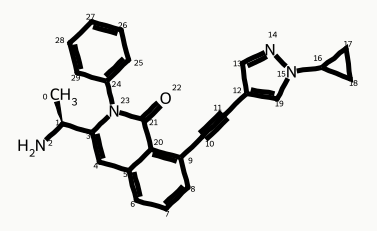 C[C@H](N)c1cc2cccc(C#Cc3cnn(C4CC4)c3)c2c(=O)n1-c1ccccc1